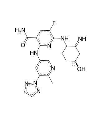 Cc1ncc(Nc2nc(NC3CC[C@H](O)CC3=N)c(F)cc2C(N)=O)cc1-n1nccn1